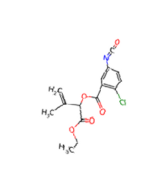 C=C(C)C(OC(=O)c1cc(N=C=O)ccc1Cl)C(=O)OCC